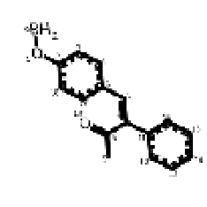 BOc1ccc(C=C(C(C)=O)c2ccccc2)cc1